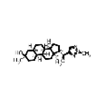 Cn1ncc(C(=O)[C@H]2CC[C@@]3(C)[C@@H]4CC[C@@H]5C[C@](C)(O)CC[C@@H]5[C@H]4CC[C@]23C)n1